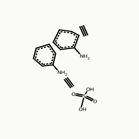 C#C.C#C.Nc1ccccc1.Nc1ccccc1.O=S(=O)(O)O